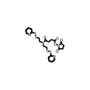 O=C(CCC(=O)N(CCSSc1ccccn1)CCSSc1ccccn1)ON1C(=O)CCC1=O